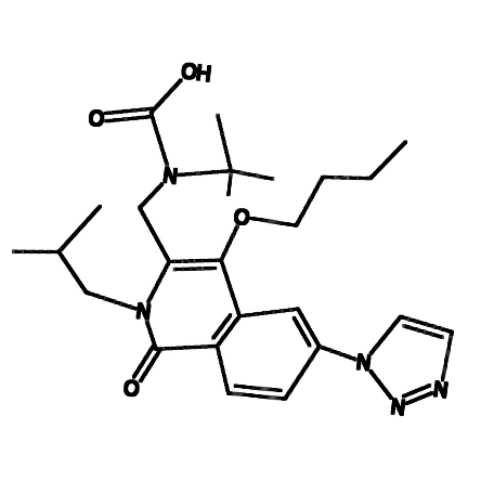 CCCCOc1c(CN(C(=O)O)C(C)(C)C)n(CC(C)C)c(=O)c2ccc(-n3ccnn3)cc12